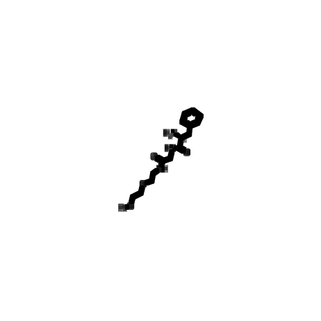 CCOCCOCCNC(=O)CNC(=O)[C@@H](N)Cc1ccccc1